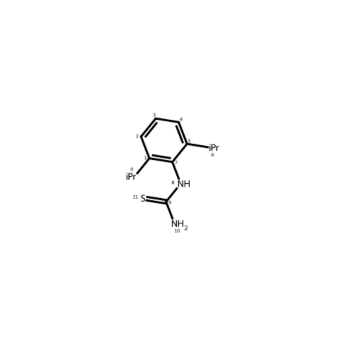 CC(C)c1cccc(C(C)C)c1NC(N)=S